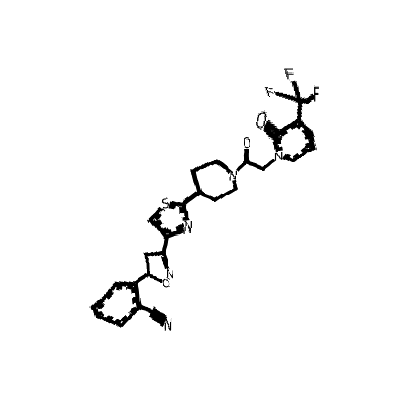 N#Cc1ccccc1C1CC(c2csc(C3CCN(C(=O)Cn4cccc(C(F)(F)F)c4=O)CC3)n2)=NO1